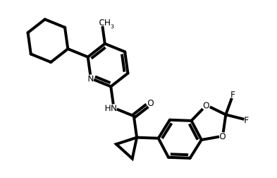 Cc1ccc(NC(=O)C2(c3ccc4c(c3)OC(F)(F)O4)CC2)nc1C1CCCCC1